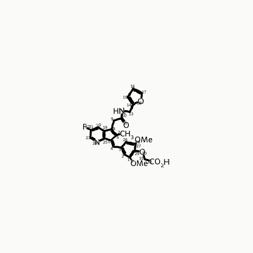 COc1cc(C=C2C(C)=C(CC(=O)NCc3ccco3)c3cc(F)cnc32)cc(OC)c1OCC(=O)O